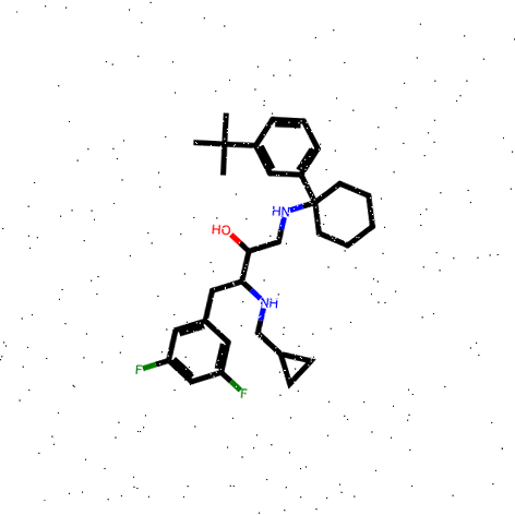 CC(C)(C)c1cccc(C2(NCC(O)C(Cc3cc(F)cc(F)c3)NCC3CC3)CCCCC2)c1